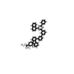 C=C1CC(C(C)C)CCC12c1ccccc1-c1c(-c3cccc(-c4cccc(-c5nc(-c6ccccc6)nc(-c6cccc7ccccc67)n5)c4)c3)cccc12